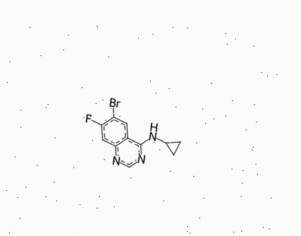 Fc1cc2ncnc(NC3CC3)c2cc1Br